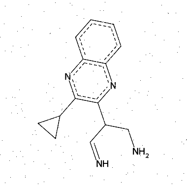 N=CC(CN)c1nc2ccccc2nc1C1CC1